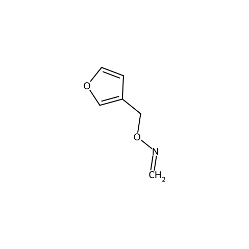 C=NOCc1ccoc1